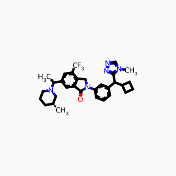 CC(c1cc2c(c(C(F)(F)F)c1)CN(c1cccc(C(c3nncn3C)C3CCC3)c1)C2=O)N1CCC[C@H](C)C1